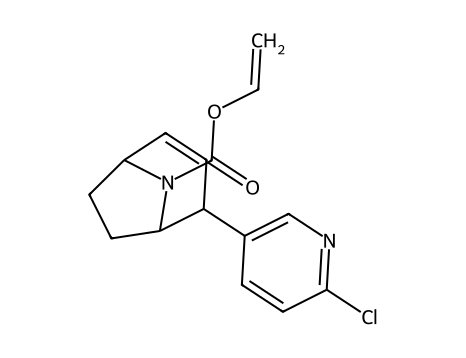 C=COC(=O)N1C2C=CC(c3ccc(Cl)nc3)C1CC2